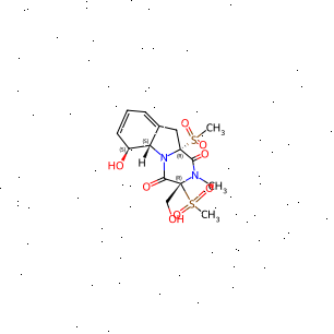 CN1C(=O)[C@]2(S(C)(=O)=O)CC3=CC=C[C@H](O)[C@H]3N2C(=O)[C@@]1(CO)S(C)(=O)=O